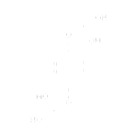 CC(O)(O)Oc1ccc(OC(C)(O)O)cc1